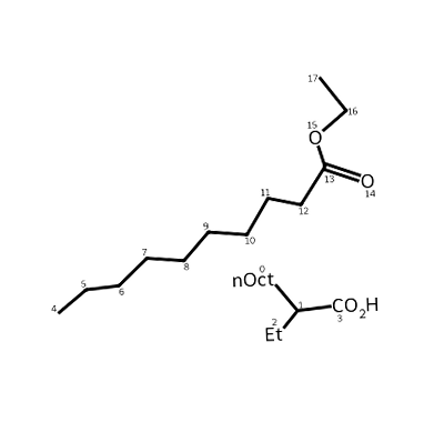 CCCCCCCCC(CC)C(=O)O.CCCCCCCCCC(=O)OCC